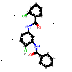 O=C(Nc1cc(NC(=O)c2ccccc2Cl)ccc1Cl)c1ccccc1